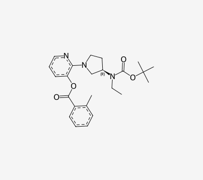 CCN(C(=O)OC(C)(C)C)[C@@H]1CCN(c2ncccc2OC(=O)c2ccccc2C)C1